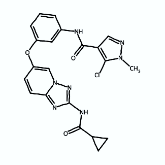 Cn1ncc(C(=O)Nc2cccc(Oc3ccc4nc(NC(=O)C5CC5)nn4c3)c2)c1Cl